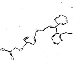 CCc1ccccc1/C(=C\CSc1ccc(OCC(=O)O)cc1)c1ccccc1